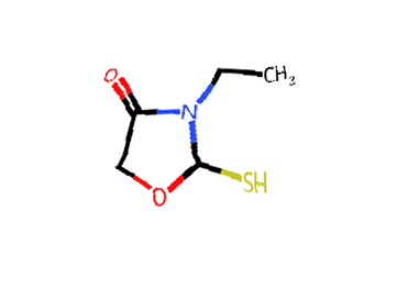 CCN1C(=O)COC1S